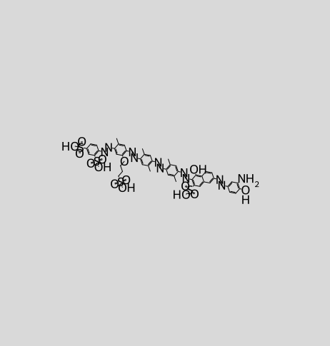 Cc1cc(N=Nc2cc(C)c(N=Nc3ccc(S(=O)(=O)O)cc3S(=O)(=O)O)cc2OCCCS(=O)(=O)O)c(C)cc1N=Nc1cc(C)c(N=Nc2c(S(=O)(=O)O)cc3cc(N=Nc4ccc(O)c(N)c4)ccc3c2O)cc1C